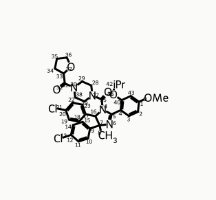 COc1ccc(C2=NC(C)(c3ccc(Cl)cc3)C(c3ccc(Cl)cc3)N2C(=O)N2CCN(C(=O)C3CCCO3)CC2)c(OC(C)C)c1